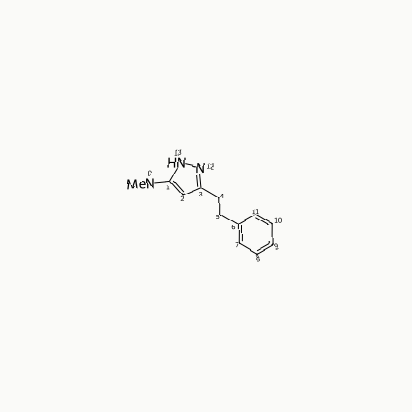 CNc1cc(CCc2ccccc2)n[nH]1